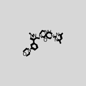 Cc1cc(C)nc(N2CCC3(CC2)NCCN(Cc2nn(C)cc2-c2cccc(N4CCOCC4)c2)C3=O)n1